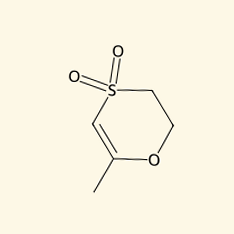 CC1=CS(=O)(=O)CCO1